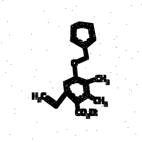 C=Cc1cc(OCc2ccccc2)c(C)c(C)c1C(=O)OCC